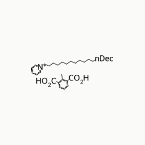 CCCCCCCCCCCCCCCCCCCCCC[n+]1ccccc1.Cc1c(C(=O)O)cccc1C(=O)O